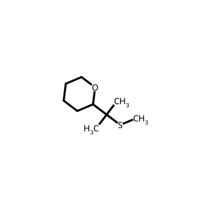 CSC(C)(C)C1CCCCO1